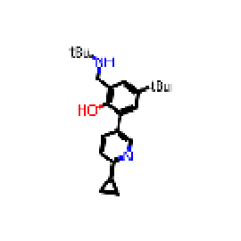 CC(C)(C)NCc1cc(C(C)(C)C)cc(-c2ccc(C3CC3)nc2)c1O